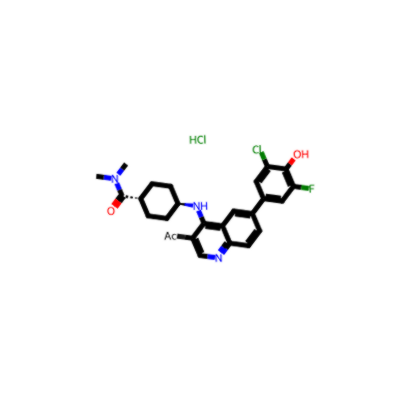 CC(=O)c1cnc2ccc(-c3cc(F)c(O)c(Cl)c3)cc2c1N[C@H]1CC[C@H](C(=O)N(C)C)CC1.Cl